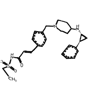 CCS(=O)(=O)NC(=O)/C=C/c1ccc(CN2CCC(N[C@@H]3C[C@H]3c3ccccc3)CC2)cc1